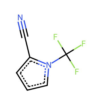 N#Cc1cccn1C(F)(F)F